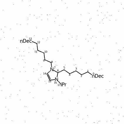 CCCCCCCCCCCCCCCC1N(CCCCCCCCCCCCCCC)C=CN1C(C)C